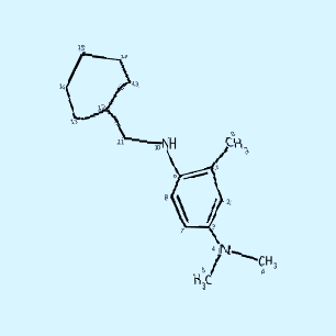 Cc1cc(N(C)C)ccc1NCC1CCCCC1